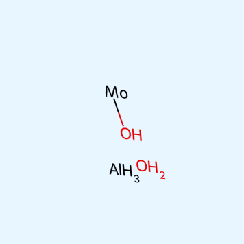 O.[AlH3].[OH][Mo]